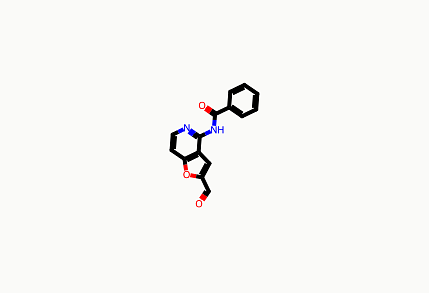 O=Cc1cc2c(NC(=O)c3ccccc3)nccc2o1